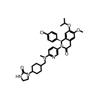 COc1cc2c(cc1OC(C)C)[C@H](c1ccc(Cl)cc1)N(c1ccc(N(C)CC3CCC(N4CCNC4=O)CC3)nc1)C(=O)C2